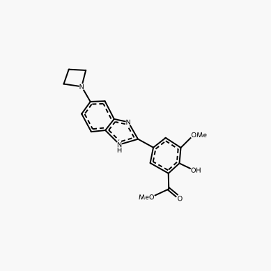 COC(=O)c1cc(-c2nc3cc(N4CCC4)ccc3[nH]2)cc(OC)c1O